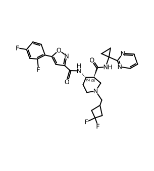 O=C(N[C@H]1CCN(CC2CC(F)(F)C2)C[C@@H]1C(=O)NC1(c2ncccn2)CC1)c1cc(-c2ccc(F)cc2F)on1